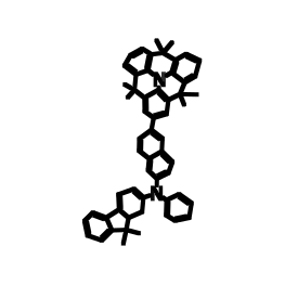 CC1(C)c2cccc3c2N2c4c1cccc4C(C)(C)c1cc(-c4ccc5cc(N(C6=CC=C7c8ccccc8C(C)(C)C7C6)c6ccccc6)ccc5c4)cc(c12)C3(C)C